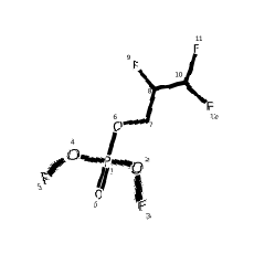 O=P(OF)(OF)OCC(F)C(F)F